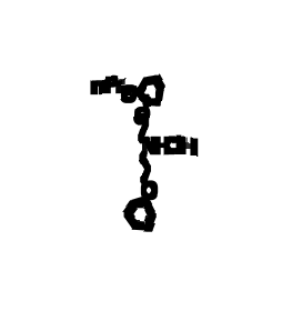 CCCOc1ccccc1OCCNCCCOc1ccccc1.Cl